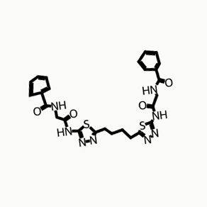 O=C(CNC(=O)c1ccccc1)Nc1nnc(CCCCc2nnc(NC(=O)CNC(=O)c3ccccc3)s2)s1